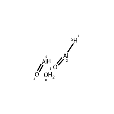 O.[2H][Al]=[O].[O]=[AlH]